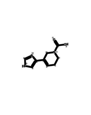 O=C(O)N1CCC=C(c2c[nH]cn2)C1